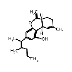 C=C1Oc2cc(C(C)C(C)CCC)cc(O)c2[C@@H]2C=C(C)CC[C@@H]12